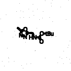 Cc1nnc(CNC(=O)OC(C)(C)C)o1